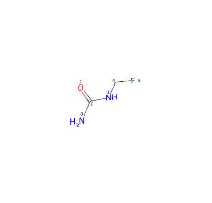 NC(=O)NCF